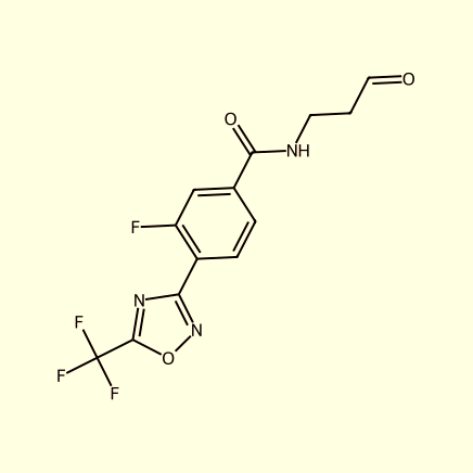 O=CCCNC(=O)c1ccc(-c2noc(C(F)(F)F)n2)c(F)c1